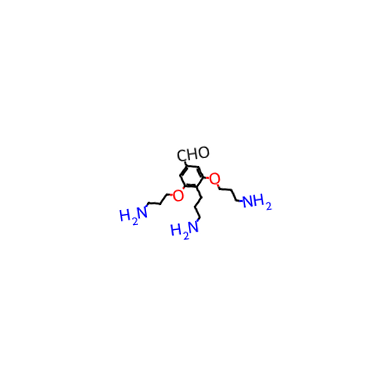 NCCCOc1cc(C=O)cc(OCCCN)c1CCCN